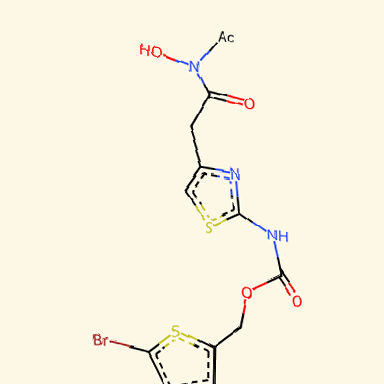 CC(=O)N(O)C(=O)Cc1csc(NC(=O)OCc2ccc(Br)s2)n1